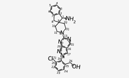 N[C@@H]1c2ccccc2CC12CCN(c1ncc3cn(-c4c(Cl)cccc4CO)nc3n1)CC2